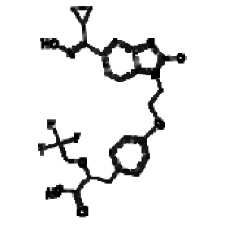 O=C(O)C(Cc1ccc(OCCn2c(=O)sc3cc(C(=NO)C4CC4)ccc32)cc1)OCC(F)(F)F